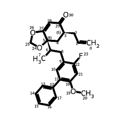 C=CC[C@H]1C[C@]2(C(C)Cc3cc(-c4ccccc4)c(OC)cc3F)OCOC2=CC1=O